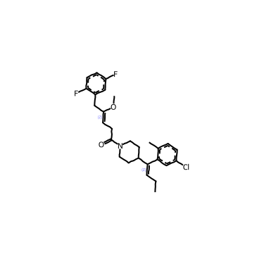 CC/C=C(\c1cc(Cl)ccc1C)C1CCN(C(=O)C/C=C(/Cc2cc(F)ccc2F)OC)CC1